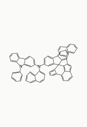 c1ccc(-n2c3ccccc3c3ccc(N(c4ccc5c(c4)C4(c6ccccc6-5)c5ccccc5-c5cccc6ccc(-c7cccc8ccccc78)c4c56)c4cccc5ccccc45)cc32)cc1